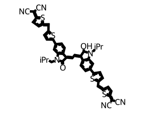 CC(C)CN1C(=O)/C(=C/C=C2\c3ccc(-c4ccc(/C=c5\ccc(=C(C#N)C#N)s5)s4)cc3N(CC(C)C)C2O)c2ccc(-c3ccc(/C=c4\ccc(=C(C#N)C#N)s4)s3)cc21